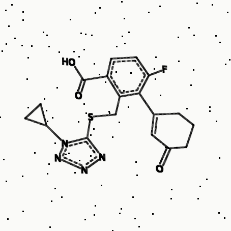 O=C1C=C(c2c(F)ccc(C(=O)O)c2CSc2nnnn2C2CC2)CCC1